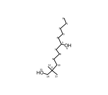 CCCCCC(O)CCCCC(C)(C)CO